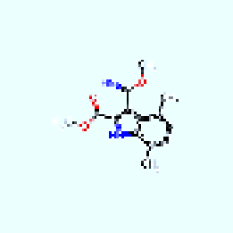 COC(=N)c1c(C(=O)OC)[nH]c2c(C)ccc(C)c12